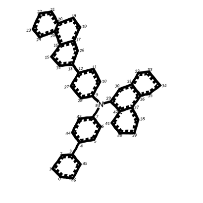 c1ccc(-c2ccc(N(c3ccc(-c4ccc5c(ccc6ccccc65)c4)cc3)c3cc4ccccc4c4ccccc34)cc2)cc1